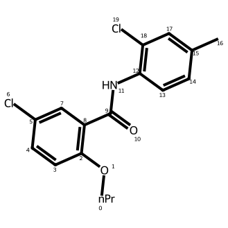 CCCOc1ccc(Cl)cc1C(=O)Nc1ccc(C)cc1Cl